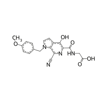 COc1ccc(Cn2ccc3c(O)c(C(=O)NCC(=O)O)nc(C#N)c32)cc1